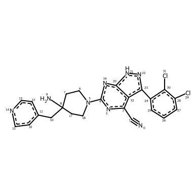 N#Cc1nc(N2CCC(N)(Cc3ccncc3)CC2)nc2[nH]nc(-c3cccc(Cl)c3Cl)c12